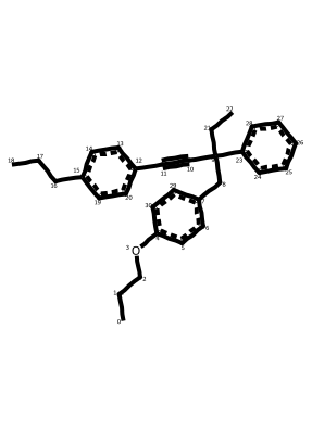 C[CH]COc1ccc(CC(C#Cc2ccc(CCC)cc2)(CC)c2ccccc2)cc1